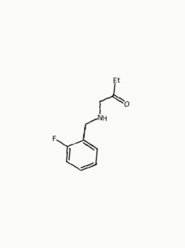 CCC(=O)CNCc1ccccc1F